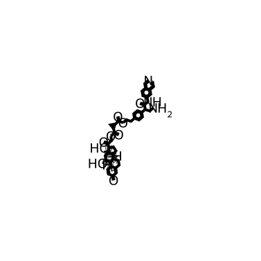 C[C@]12C=CC(=O)C=C1CC[C@@H]1[C@@H]2[C@@H](O)C[C@@]2(C)[C@H]1CC[C@]2(O)C(=O)COC(=O)C1CC1C(=O)OCCc1ccc(C(CN)C(=O)Nc2ccc3cnccc3c2)cc1